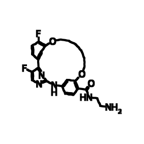 NCCNC(=O)c1ccc2cc1OCCCCCCOc1cc(ccc1F)-c1nc(ncc1F)N2